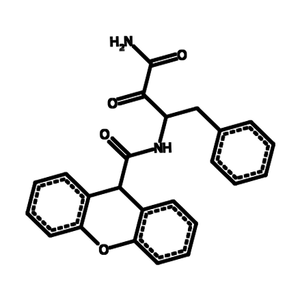 NC(=O)C(=O)C(Cc1ccccc1)NC(=O)C1c2ccccc2Oc2ccccc21